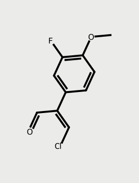 COc1ccc(C(C=O)=CCl)cc1F